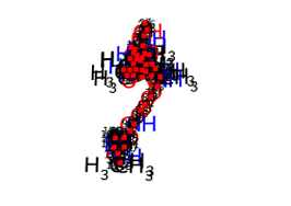 CC[C@H](C)[C@@H]([C@@H](CC(=O)N1CCC[C@H]1[C@H](OC)[C@@H](C)C(=O)N[C@H](Cc1ccccc1)C(=O)O)OC)N(C)C(=O)[C@@H](NC(=O)[C@H](C(C)C)N(C)C(=O)OCc1ccc(NC(=O)[C@H](CCCNC(N)=O)NC(=O)[C@@H](NC(=O)CCOCCOCCOCCOCCNC(=O)CCC(=O)N2Cc3ccccc3-c3nnn(CC(=O)NCC(C)(C)C)c3-c3ccccc32)C(C)C)cc1)C(C)C